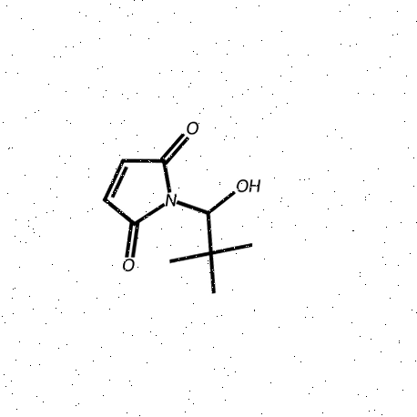 CC(C)(C)C(O)N1C(=O)C=CC1=O